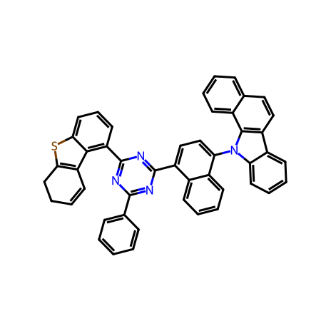 C1=Cc2c(sc3cccc(-c4nc(-c5ccccc5)nc(-c5ccc(-n6c7ccccc7c7ccc8ccccc8c76)c6ccccc56)n4)c23)CC1